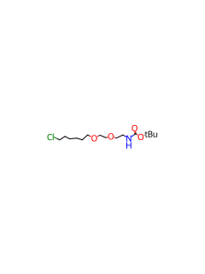 CC(C)(C)OC(=O)NCCOCCOCCCCCCCl